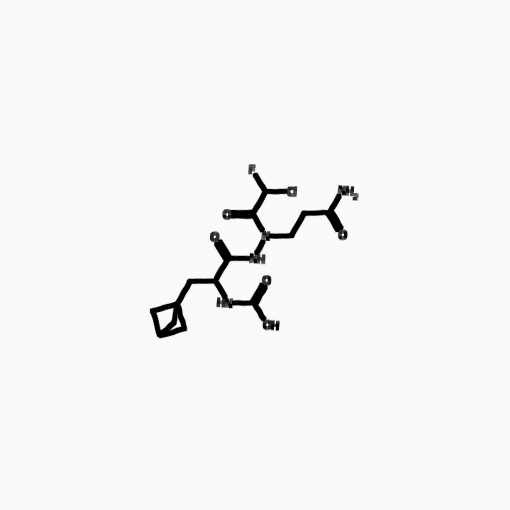 NC(=O)CCN(NC(=O)C(CC12CC(C1)C2)NC(=O)O)C(=O)C(F)Cl